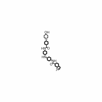 Cn1ccc2ccc(C(=O)Nc3ccc(Nc4ccc(NC(=O)c5ccc(N6CCC(O)CC6)cc5)cc4)cc3)cc21